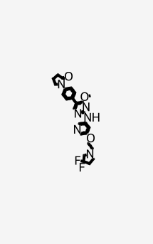 COc1nc(Nc2cncc(OCCN3CCC(F)(F)C3)c2)ncc1-c1ccc(N2CCCC2=O)cc1